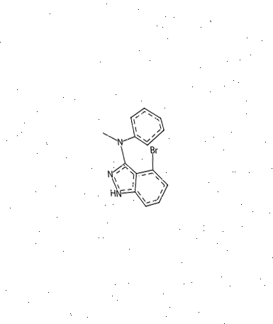 CN(c1ccccc1)c1n[nH]c2cccc(Br)c12